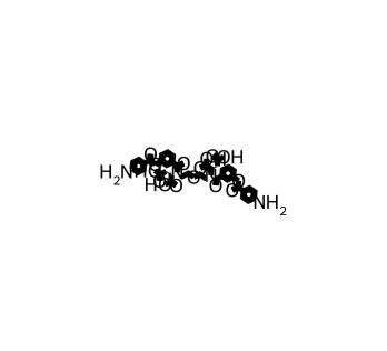 Nc1ccc(C(=O)Oc2cccc(C(=O)N(CCOCCN(C(=O)c3cccc(OC(=O)c4ccc(N)cc4)c3)[C@@H](CC(=O)O)C(=O)O)[C@@H](CC(=O)O)C(=O)O)c2)cc1